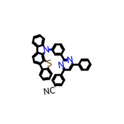 N#Cc1ccc(-c2cc(-c3ccccc3)nc(-c3cccc(-n4c5ccccc5c5ccc6c7ccccc7sc6c54)c3)n2)cc1